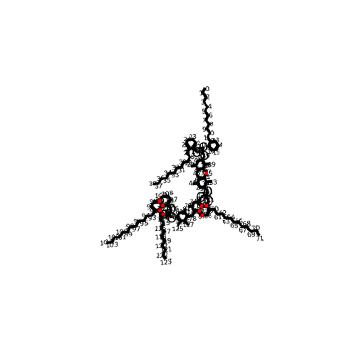 CCCCCCCCCCCCc1ccccc1OP(Oc1ccccc1CCCCCCCCCCCC)Oc1cc(C)c(Cc2c(C)cc(OP(Oc3ccccc3CCCCCCCCCCCC)Oc3cc(C)c(Cc4c(C)cc(OP(Oc5ccccc5CCCCCCCCCCCC)Oc5ccccc5CCCCCCCCCCCC)c(C)c4C)c(C)c3C)c(C)c2C)c(C)c1C